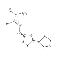 CN(/[N+]([O-])=N/O[C@@H]1CCN(C2CCCC2)C1)C(C)(C)C